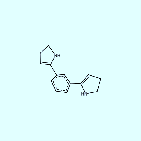 C1=C(c2cccc(C3=CCCN3)c2)NCC1